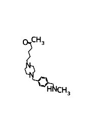 CNCc1ccc(CN2CCN(CCCCC(C)=O)CC2)cc1